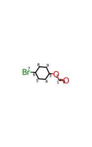 O=COC1CCC(Br)CC1